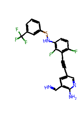 N=Cc1cc(C#Cc2c(F)ccc(NSc3cccc(C(F)(F)F)c3)c2F)cnc1N